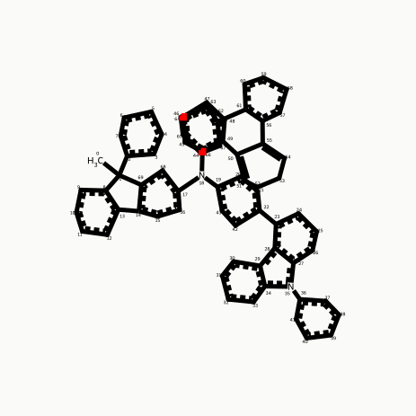 CC1(c2ccccc2)c2ccccc2-c2ccc(N(c3ccc(-c4cccc5c4c4ccccc4n5-c4ccccc4)cc3)c3ccccc3C3=CCCC=C3c3ccccc3-c3ccccc3)cc21